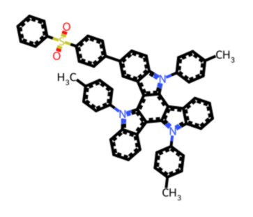 Cc1ccc(-n2c3ccccc3c3c2c2c4ccccc4n(-c4ccc(C)cc4)c2c2c4cc(-c5ccc(S(=O)(=O)c6ccccc6)cc5)ccc4n(-c4ccc(C)cc4)c32)cc1